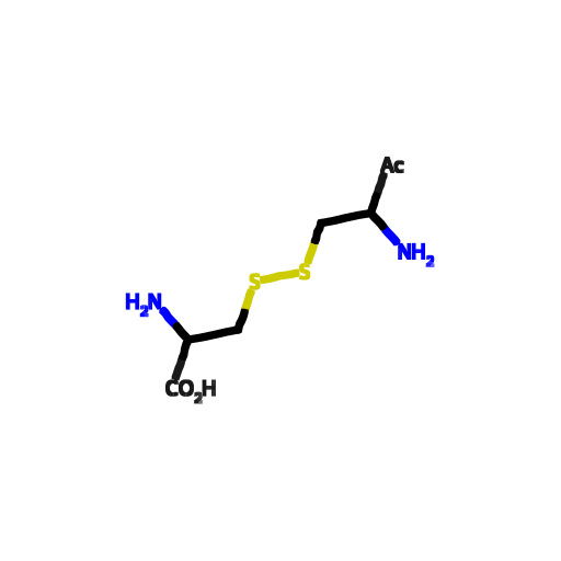 CC(=O)C(N)CSSCC(N)C(=O)O